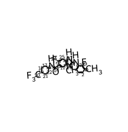 Cc1ccc(Cl)c(Nc2nc3cc(C(=O)N[C@H]4CC[C@H](C(F)(F)F)CC4)c(F)cc3[nH]2)c1F